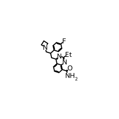 CCc1nc(CC(CN2CCC2)c2ccc(F)cc2)c2cccc(C(N)=O)c2n1